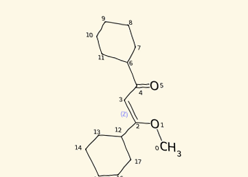 CO/C(=C\C(=O)C1CCCCC1)C1CCCCC1